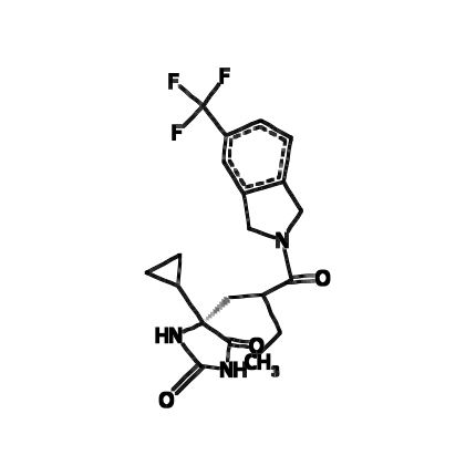 CCC(C[C@@]1(C2CC2)NC(=O)NC1=O)C(=O)N1Cc2ccc(C(F)(F)F)cc2C1